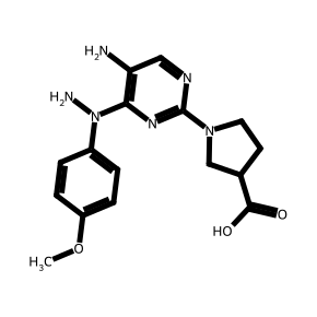 COc1ccc(N(N)c2nc(N3CCC(C(=O)O)C3)ncc2N)cc1